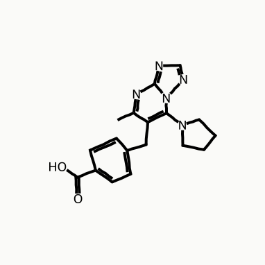 Cc1nc2ncnn2c(N2CCCC2)c1Cc1ccc(C(=O)O)cc1